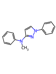 CN(c1ccccc1)c1ccn(-c2ccccc2)n1